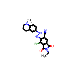 CCN1C(=O)c2cc(C#N)c(NNc3ccc4c(c3)CCCN4C)c(Br)c2C1=O